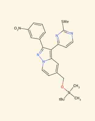 CSc1nccc(-c2c(-c3cccc([N+](=O)[O-])c3)nn3ccc(CO[Si](C)(C)C(C)(C)C)cc23)n1